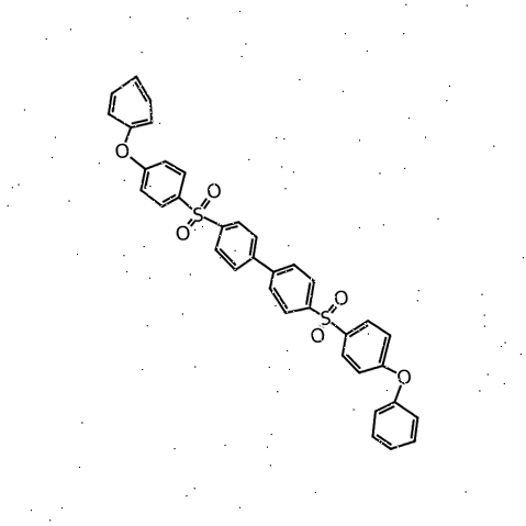 O=S(=O)(c1ccc(Oc2ccccc2)cc1)c1ccc(-c2ccc(S(=O)(=O)c3ccc(Oc4ccccc4)cc3)cc2)cc1